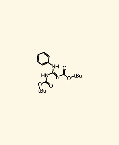 CC(C)(C)OC(=O)/N=C(/NC(=O)OC(C)(C)C)Nc1ccccc1